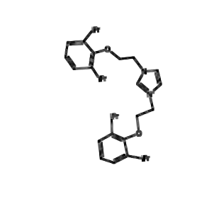 CC(C)c1cccc(C(C)C)c1OCCn1cc[n+](CCOc2c(C(C)C)cccc2C(C)C)c1